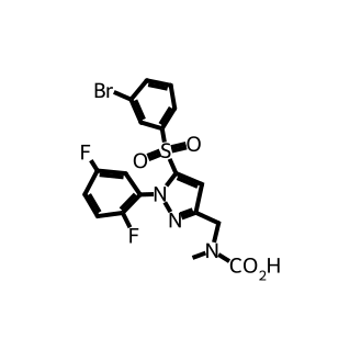 CN(Cc1cc(S(=O)(=O)c2cccc(Br)c2)n(-c2cc(F)ccc2F)n1)C(=O)O